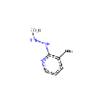 CCCCc1cccnc1NNC(=O)O